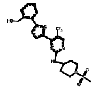 CS(=O)(=O)N1CCC(Nc2ncc(C(F)(F)F)c(-c3cnc(-c4ccccc4CO)s3)n2)CC1